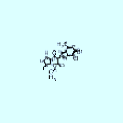 CCOC(=O)C(C(=O)[C@@H]1C[C@@H](F)CN1)n1cc2c(C)cc(Br)c(Cl)c2n1